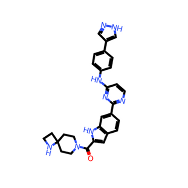 O=C(c1cc2ccc(-c3nccc(Nc4ccc(-c5cn[nH]c5)cc4)n3)cc2[nH]1)N1CCC2(CCN2)CC1